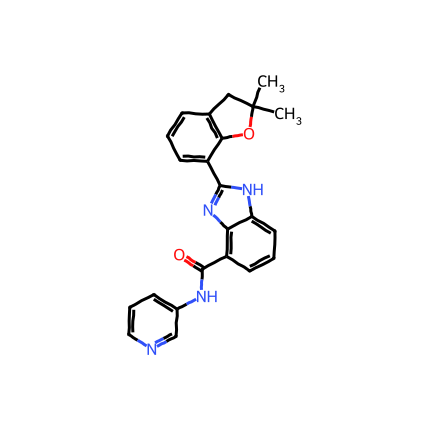 CC1(C)Cc2cccc(-c3nc4c(C(=O)Nc5cccnc5)cccc4[nH]3)c2O1